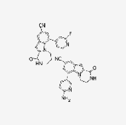 N#Cc1cc(-c2ccc(N)nc2)c2c(c1)cc1n2CCNC1=O.N#Cc1cc(-c2ccnc(F)c2)c2c(c1)cc1n2CCCNC1=O